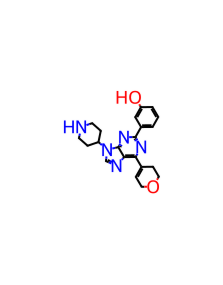 Oc1cccc(-c2nc(C3=CCOCC3)c3ncn(C4CCNCC4)c3n2)c1